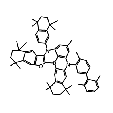 Cc1cc2c3c(c1)N(c1ccc4c(c1)C(C)(C)CCC4(C)C)c1c(oc4cc5c(cc14)C(C)(C)CCC5(C)C)B3c1cc3c(cc1N2c1cc(-c2c(C)cccc2C)ccc1C)C(C)(C)CCC3(C)C